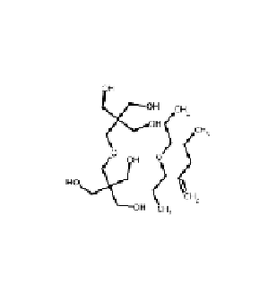 C=CCCC.CCCOCCC.OCC(CO)(CO)COCC(CO)(CO)CO